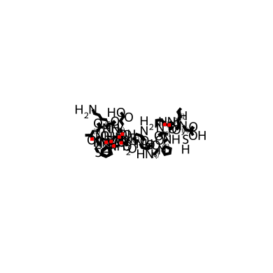 CC[C@H](C)[C@H](NC(=O)[C@@H]1CCCN1C(=O)[C@H](CC(C)C)NC(=O)[C@@H]1CCCN1C(=O)[C@H](C)NC(=O)CNC(=O)[C@H](CC(N)=O)NC(=O)[C@H](Cc1c[nH]c2ccccc12)NC(=O)[C@H](CCC(=O)O)NC(=O)[C@H](CCCCN)NC(=O)[C@H](CC(C)C)NC(=O)[C@H](CS)NC(=O)[C@@H](N)CC(=O)O)C(=O)N[C@@H](CS)C(=O)O